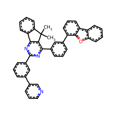 CC1(C)c2ccccc2-c2nc(-c3cccc(-c4cccnc4)c3)nc(-c3cccc(-c4cccc5c4oc4ccccc45)c3)c21